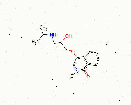 CC(C)NCC(O)COc1cn(C)c(=O)c2ccccc12